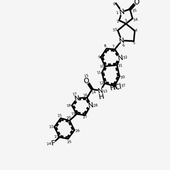 CN1CC2(CCN(c3ccc4cc(NC(=O)c5ncc(-c6ccc(F)cc6)cn5)ccc4n3)C2)CC1=O.Cl